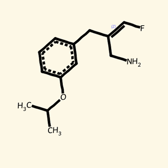 CC(C)Oc1cccc(C/C(=C/F)CN)c1